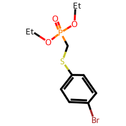 CCOP(=O)(CSc1ccc(Br)cc1)OCC